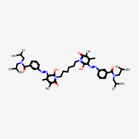 CCCCC(CC)CN(CC(CC)CCCC)C(=O)c1cccc(/N=N/c2c(C)c(C#N)c(=O)n(CCCCCCn3c(O)c(/N=N/c4cccc(C(=O)N(CC(CC)CCCC)CC(CC)CCCC)c4)c(C)c(C#N)c3=O)c2O)c1